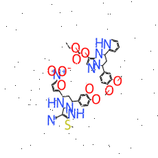 CCOC(=O)Oc1cnn2c1NC(c1ccccn1)CC2c1ccc(OC)c(OC)c1.COc1ccc(C2CC(c3ccc([N+](=O)[O-])o3)NC3C(C#N)=C(SC)NN32)cc1OC